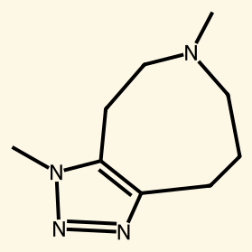 CN1CCCc2nnn(C)c2CC1